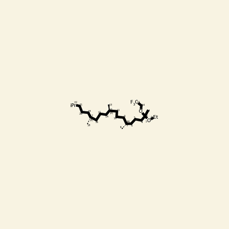 CCOC(C)(CCC[C@H](C)CCC[C@H](C)CCC[C@H](C)CCCC(C)C)OCC(F)(F)F